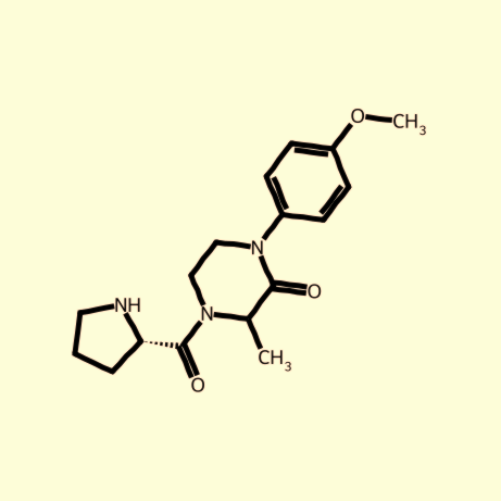 COc1ccc(N2CCN(C(=O)[C@@H]3CCCN3)C(C)C2=O)cc1